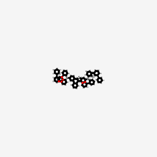 c1ccc(-c2ccccc2N(c2ccc3c(c2)sc2c4ccc(N(c5ccccc5-c5ccccc5)c5cccc6c5oc5c(-c7ccccc7)cccc56)cc4c4ccccc4c32)c2cccc3c2oc2c(-c4ccccc4)cccc23)cc1